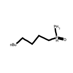 CCCCCCCC[PH](=O)P